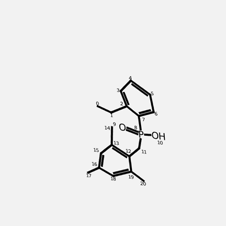 CCc1ccccc1P(=O)(O)Cc1c(C)cc(C)cc1C